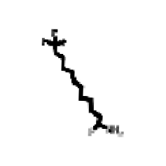 NC(F)CCCCCCCCCCC(F)(F)F